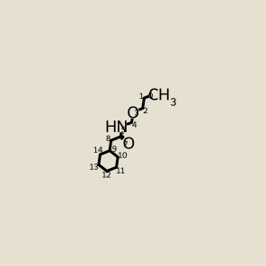 CCCOCNC(=O)CC1CCCCC1